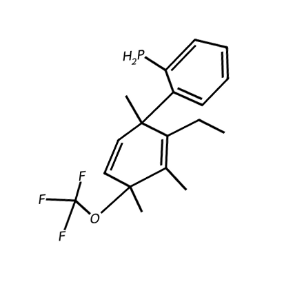 CCC1=C(C)C(C)(OC(F)(F)F)C=CC1(C)c1ccccc1P